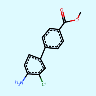 COC(=O)c1ccc(-c2ccc(N)c(Cl)c2)cc1